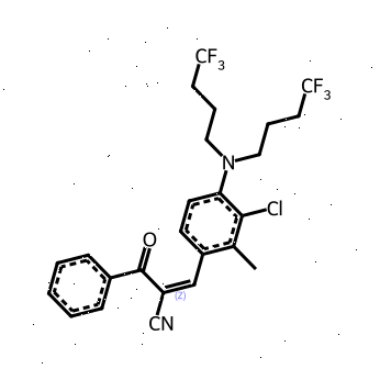 Cc1c(/C=C(/C#N)C(=O)c2ccccc2)ccc(N(CCCC(F)(F)F)CCCC(F)(F)F)c1Cl